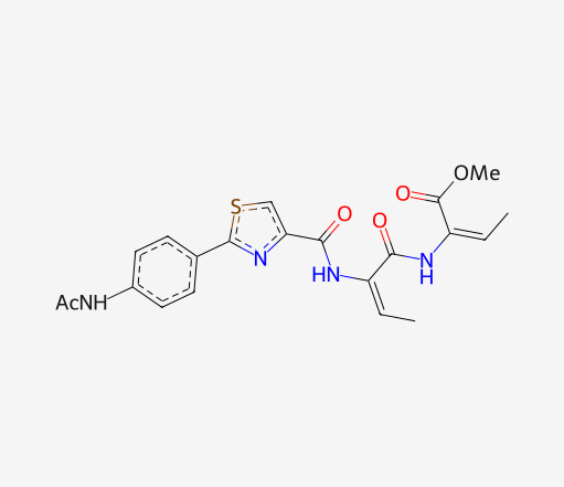 CC=C(NC(=O)c1csc(-c2ccc(NC(C)=O)cc2)n1)C(=O)NC(=CC)C(=O)OC